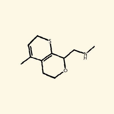 CNCC1OCCC2=C1SCC=C2C